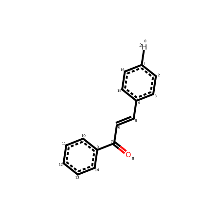 [2H]c1ccc(/C=C/C(=O)c2ccccc2)cc1